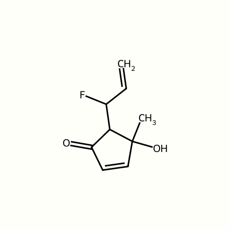 C=CC(F)C1C(=O)C=CC1(C)O